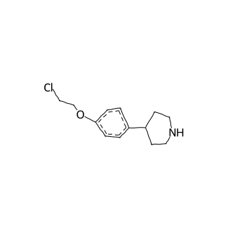 ClCCOc1ccc(C2CCNCC2)cc1